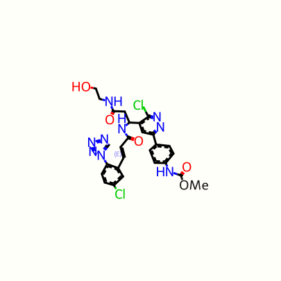 COC(=O)Nc1ccc(-c2cc(C(CC(=O)NCCO)NC(=O)/C=C/c3cc(Cl)ccc3-n3cnnn3)c(Cl)nn2)cc1